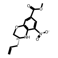 C=CC[C@@H]1COc2cc(C(=O)OC)cc([N+](=O)[O-])c2N1